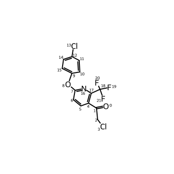 O=C(CCl)c1ccc(Oc2ccc(Cl)cc2)nc1C(F)(F)F